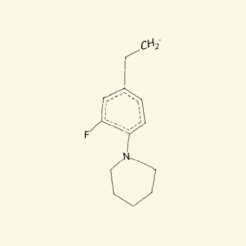 [CH2]Cc1ccc(N2CCCCC2)c(F)c1